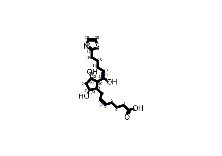 O=C(O)CCC/C=C\CC1C(/C(O)=C\CCCc2nccs2)[C@H](O)C[C@@H]1O